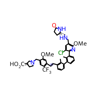 COc1cc(/C=C/c2cccc(-c3cccc(-c4nc(OC)c(CNC[C@@H]5CCC(=O)N5)cc4Cl)c3C)c2C)c(C(F)(F)F)cc1CN1CC[C@@H](C(=O)O)C1